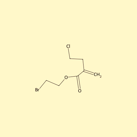 C=C(CCCl)C(=O)OCCBr